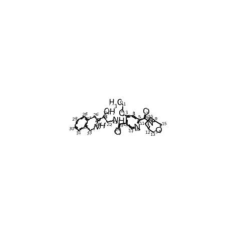 CCOc1cc(C(=O)N2C3CCC2COC3)ncc1C(=O)NC[C@@H](O)[C@@H]1Cc2ccccc2CN1